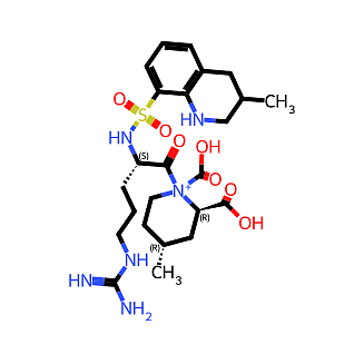 CC1CNc2c(cccc2S(=O)(=O)N[C@@H](CCCNC(=N)N)C(=O)[N+]2(C(=O)O)CC[C@@H](C)C[C@@H]2C(=O)O)C1